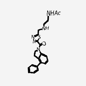 CC(=O)NCCNCc1nnc(C(=O)N2CCc3c(-c4ccccc4)cccc32)s1